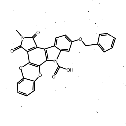 Cn1c(=O)c2c3oc4ccccc4oc3c3c(c4ccc(OCc5ccccc5)cc4n3C(=O)O)c2c1=O